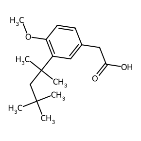 COc1ccc(CC(=O)O)cc1C(C)(C)CC(C)(C)C